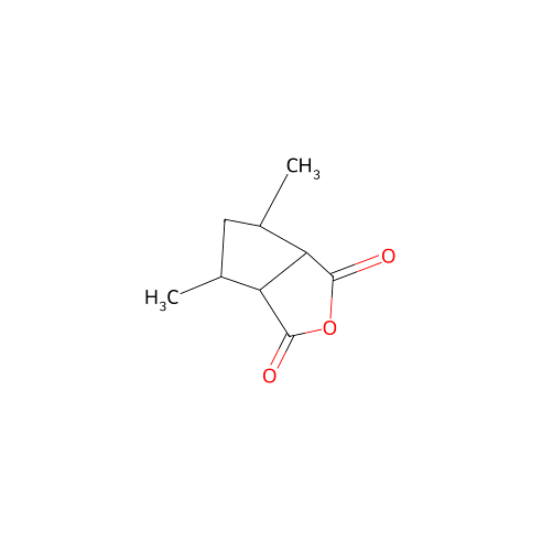 CC1CC(C)C2C(=O)OC(=O)C12